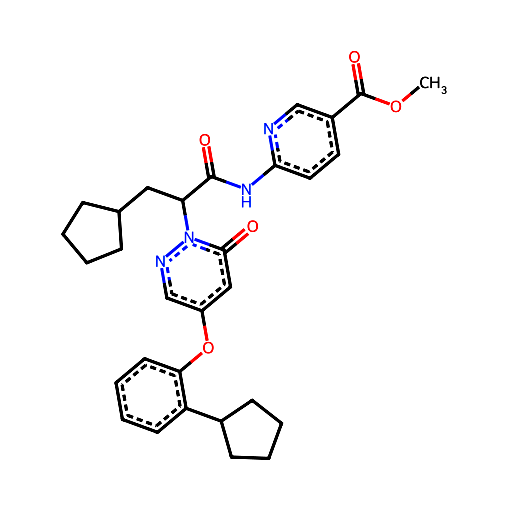 COC(=O)c1ccc(NC(=O)C(CC2CCCC2)n2ncc(Oc3ccccc3C3CCCC3)cc2=O)nc1